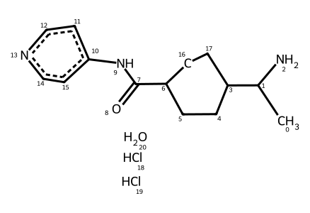 CC(N)C1CCC(C(=O)Nc2ccncc2)CC1.Cl.Cl.O